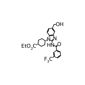 CCOC(=O)[C@H]1CC[C@@H](n2c(NC(=O)c3cccc(C(F)(F)F)c3)nc3cc(CO)ccc32)CC1